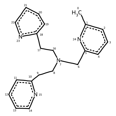 Cc1cccc(CN(CCc2ccccn2)CCc2ccccn2)n1